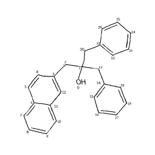 OC([CH]c1ccc2ccccc2c1)(Cc1ccccc1)Cc1ccccc1